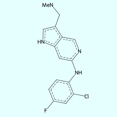 CNCc1c[nH]c2cc(Nc3ccc(F)cc3Cl)ncc12